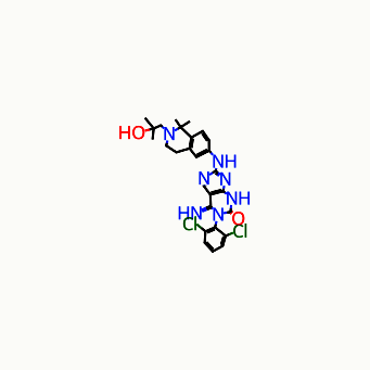 CC(C)(O)CN1CCc2cc(Nc3ncc4c(=N)n(-c5c(Cl)cccc5Cl)c(=O)[nH]c4n3)ccc2C1(C)C